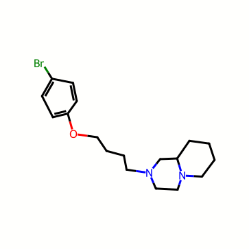 Brc1ccc(OCCCCN2CCN3CCCCC3C2)cc1